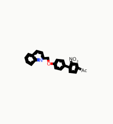 CC(=O)c1ccc(-c2ccc(OCc3ccc4ccccc4n3)cc2)c([N+](=O)[O-])c1